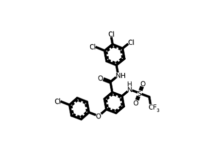 O=C(Nc1cc(Cl)c(Cl)c(Cl)c1)c1cc(Oc2ccc(Cl)cc2)ccc1NS(=O)(=O)CC(F)(F)F